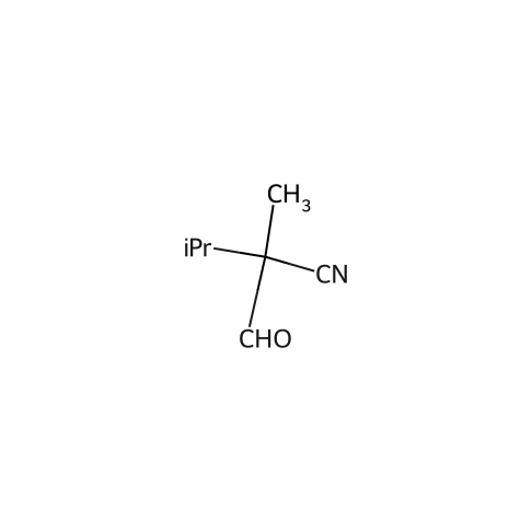 CC(C)C(C)(C#N)C=O